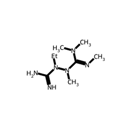 CCN(C(=N)N)N(C)C(=NC)N(C)C